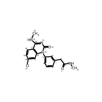 CNC(=O)Cc1cccc(-n2c(=O)nc(NC)c3ccc(Cl)cc32)c1